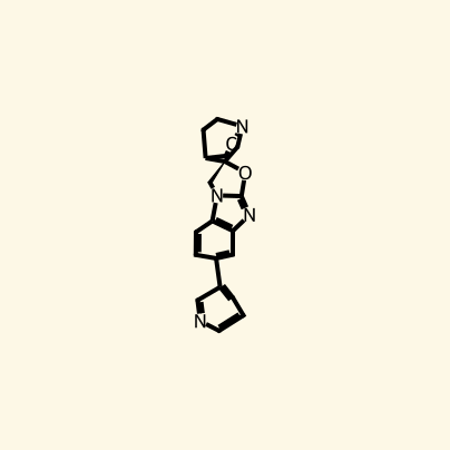 c1cncc(-c2ccc3c(c2)nc2n3C[C@@]3(CN4CCC3CC4)O2)c1